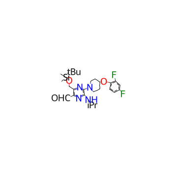 CC(C)Nc1nc(C=O)c(CO[Si](C)(C)C(C)(C)C)nc1N1CCC(Oc2ccc(F)cc2F)CC1